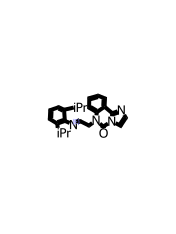 CC(C)c1cccc(C(C)C)c1/N=C/Cn1c(=O)n2ccnc2c2ccccc21